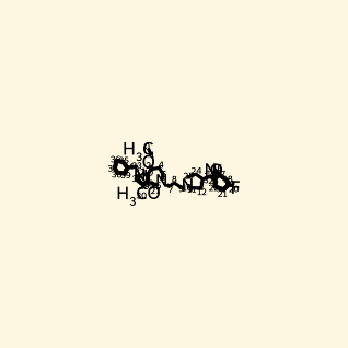 CCOC1CCN(CCCN2CCC(c3noc4cc(F)ccc34)CC2)C(=O)c2c(C)cn(Cc3ccccc3)c21